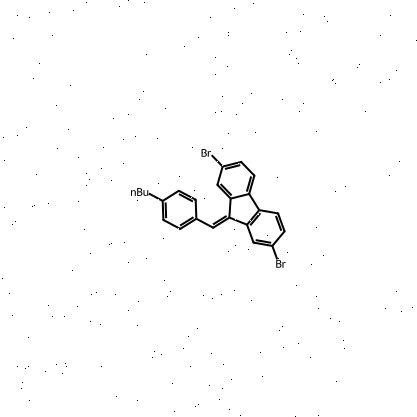 CCCCc1ccc(C=C2c3cc(Br)ccc3-c3ccc(Br)cc32)cc1